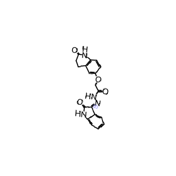 O=C(COc1ccc2c(c1)CCC(=O)N2)N/N=C1\C(=O)Nc2ccccc21